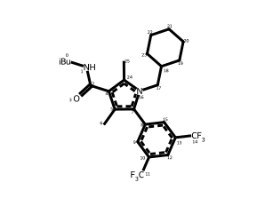 CCC(C)NC(=O)c1c(C)c(-c2cc(C(F)(F)F)cc(C(F)(F)F)c2)n(CC2CCCCC2)c1C